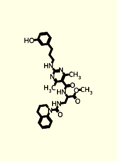 COC(=O)C(CNC(=O)N1CCCc2ccccc21)NC(=O)c1c(C)nc(NCCCc2cccc(O)c2)nc1C